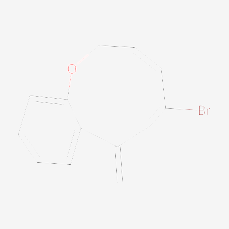 C=C1/C=C(Br)\C=C/COc2ccccc21